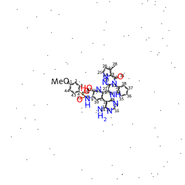 COc1ccc(S(=O)(=O)Nc2cc(-c3c(N)ncnc3N[C@@H](C)c3nn4ccc(C)c4c(=O)n3-c3ccccc3)cnc2O)cc1